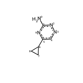 Nc1nncc(C2CC2)n1